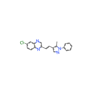 Cc1c(/C=C/c2cnc3cc(Cl)ccc3n2)cnn1-c1ccccc1